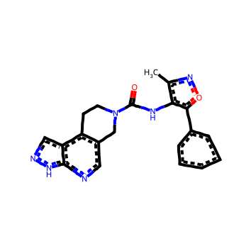 Cc1noc(-c2ccccc2)c1NC(=O)N1CCc2c(cnc3[nH]ncc23)C1